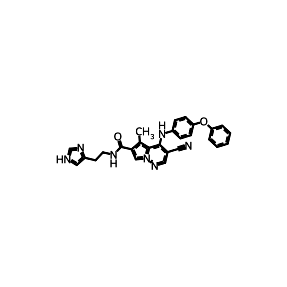 Cc1c(C(=O)NCCc2c[nH]cn2)cn2ncc(C#N)c(Nc3ccc(Oc4ccccc4)cc3)c12